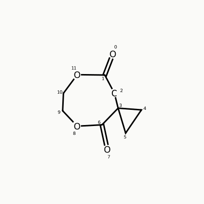 O=C1CC2(CC2)C(=O)OCCO1